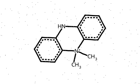 C[N+]1(C)c2ccccc2Nc2ccccc21